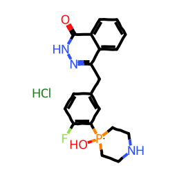 Cl.O=c1[nH]nc(Cc2ccc(F)c([P]3(O)CCNCC3)c2)c2ccccc12